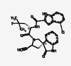 C#CC1C[C@@]2(CN1C(=O)[C@H](CC(C)(C)F)NC(=O)c1cc3c(Cl)cccc3[nH]1)C(=O)Nc1ccccc12